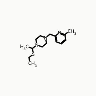 CCSC(C)N1CCN(Cc2cccc(C)n2)CC1